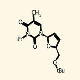 Cc1cn([C@H]2C=C[C@@H](COC(C)(C)C)O2)c(=O)n(C(C)C)c1=O